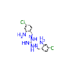 N=C(NN=Cc1ccc(Cl)cc1N)NN=Cc1ccc(Cl)cc1N